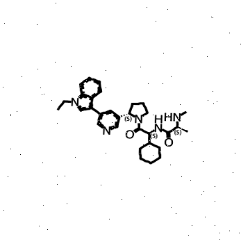 CCn1cc(-c2cncc([C@@H]3CCCN3C(=O)[C@@H](NC(=O)[C@H](C)NC)C3CCCCC3)c2)c2ccccc21